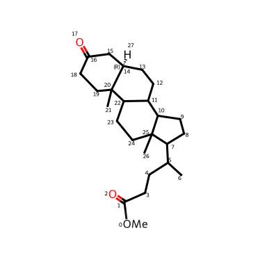 COC(=O)CCC(C)C1CCC2C3CC[C@@H]4CC(=O)CCC4(C)C3CCC12C